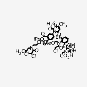 C=CCN(CC=C)C(=O)C(Cl)Cl.CC(C)OC(=O)c1cc(-n2c(=O)cc(C(F)(F)F)n(C)c2=O)ccc1Cl.CCc1cccc(CC)c1N(COC)C(=O)CCl.O=C(O)CNCP(=O)(O)O